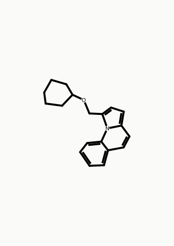 c1ccc2c(c1)ccc1ccc(COC3CCCCC3)n12